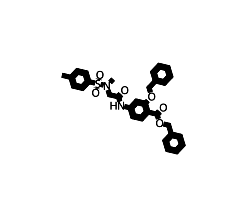 Cc1ccc(S(=O)(=O)N(C)CC(=O)Nc2ccc(C(=O)OCc3ccccc3)c(OCc3ccccc3)c2)cc1